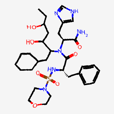 CCC(O)CC(O)C(CC1CCCCC1)N(C(=O)[C@H](Cc1ccccc1)NS(=O)(=O)N1CCOCC1)[C@@H](Cc1c[nH]cn1)C(N)=O